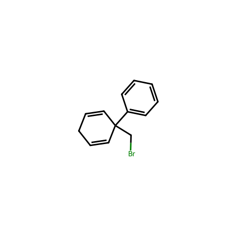 BrCC1(c2ccccc2)C=CCC=C1